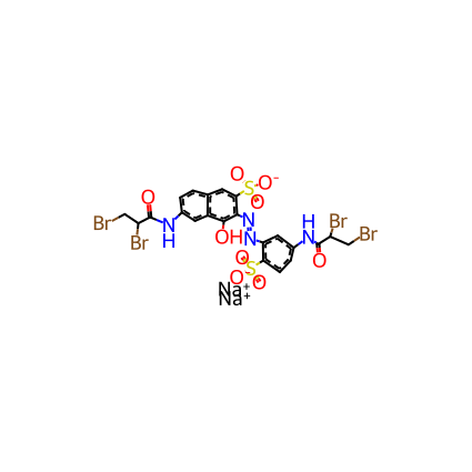 O=C(Nc1ccc(S(=O)(=O)[O-])c(N=Nc2c(S(=O)(=O)[O-])cc3ccc(NC(=O)C(Br)CBr)cc3c2O)c1)C(Br)CBr.[Na+].[Na+]